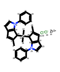 CC1=Cc2ccn(-c3ccccc3)c2C1[Si](C)(C)C1C(C)=Cc2ccn(-c3ccccc3)c21.[Cl-].[Cl-].[Zr+2]